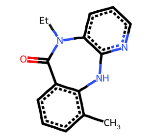 CCN1C(=O)c2cccc(C)c2Nc2ncccc21